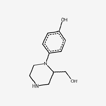 OCC1CNCCN1c1ccc(O)cc1